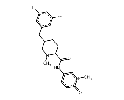 CN1CC(Cc2cc(F)cc(F)c2)CCC1C(=O)Nc1ccc(=O)n(C)c1